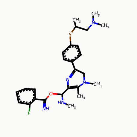 CNC(OC(=N)c1ccccc1F)C1=C(C)N(C)CC(c2ccc(SC(C)CN(C)C)cc2)=N1